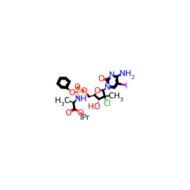 CC(C)OC(=O)[C@@H](C)N[P@@](=O)(OC[C@H]1O[C@@H](n2cc(I)c(N)nc2=O)[C@](C)(Cl)[C@@H]1O)Oc1ccccc1